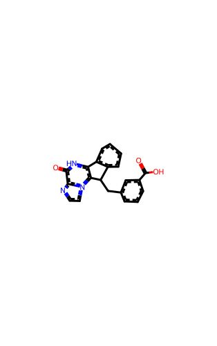 O=C(O)c1cccc(CC2c3ccccc3-c3[nH]c(=O)c4nccn4c32)c1